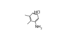 Cc1cccc(N)c1C.Cl